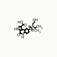 CC(C)N(CCO)S(=O)(=O)c1ccc2[nH]c(=O)c3[nH]cc(C(=O)O)c3c2c1